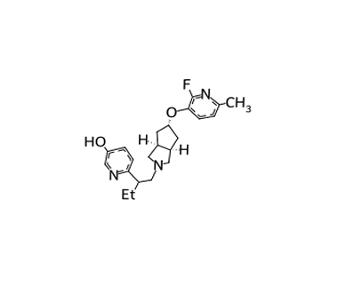 CCC(CN1C[C@H]2C[C@H](Oc3ccc(C)nc3F)C[C@H]2C1)c1ccc(O)cn1